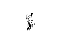 Fc1ccc([C@H](F)C2CCN(c3nc4cnccc4nc3NC3CC3)CC2)c(F)c1